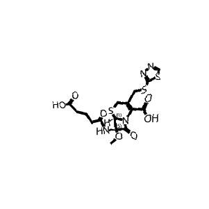 CO[C@@]1(NC(=O)CCCC(=O)O)C(=O)N2C(C(=O)O)=C(CSc3nncs3)CS[C@@H]21